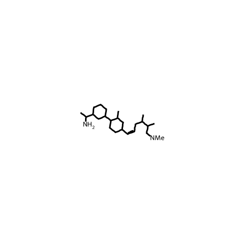 CNCC(C)C(C)C/C=C\C1CCC(C2CCCC(C(C)N)C2)C(C)C1